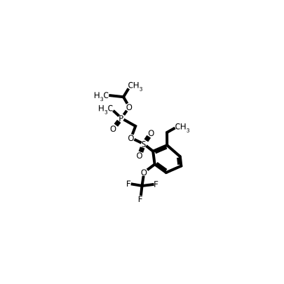 CCc1cccc(OC(F)(F)F)c1S(=O)(=O)OCP(C)(=O)OC(C)C